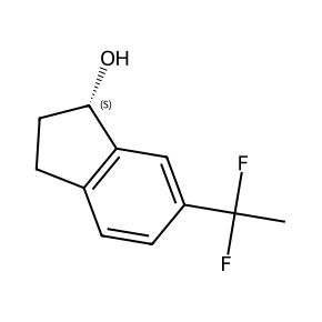 CC(F)(F)c1ccc2c(c1)[C@@H](O)CC2